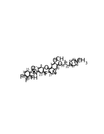 COc1cc2c(Oc3ccc(N[S+]([O-])c4ccc(F)c(F)c4F)cc3F)ccnc2cc1OCCCN1CCN(C)CC1